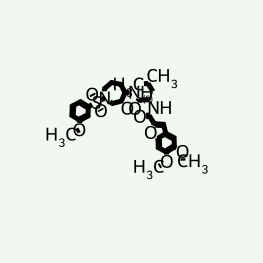 COc1cccc(S(=O)(=O)N2CCCC(NC(=O)[C@H](CC(C)C)NC(=O)c3cc4cc(OC)c(OC)cc4o3)C(=O)C2)c1